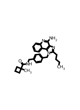 CCCCc1nc2c(N)nc3ccccc3c2n1Cc1ccc(CNC(=O)C2(C)CCC2)cc1